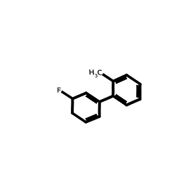 Cc1ccccc1C1=CC(F)CC=C1